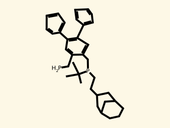 CC(C)(C)P(CCC1CC2CCCC(C2)C1)Cc1cc(-c2ccccc2)c(-c2ccccc2)cc1CP